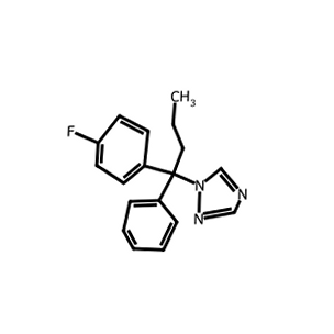 CCCC(c1ccccc1)(c1ccc(F)cc1)n1cncn1